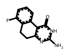 Nc1nc2c(c(=O)[nH]1)-c1cccc(F)c1CC2